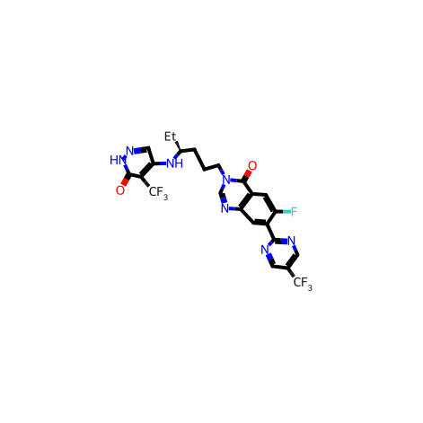 CC[C@@H](CCCn1cnc2cc(-c3ncc(C(F)(F)F)cn3)c(F)cc2c1=O)Nc1cn[nH]c(=O)c1C(F)(F)F